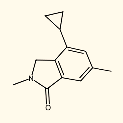 Cc1cc2c(c(C3CC3)c1)CN(C)C2=O